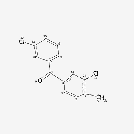 Cc1ccc(C(=O)c2cccc(Cl)c2)cc1Cl